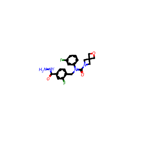 NNC(=O)c1ccc(CN(C(=O)N2CC3(COC3)C2)c2cccc(F)c2)c(F)c1